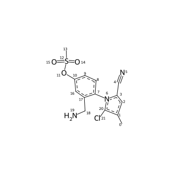 Cc1cc(C#N)n(-c2ccc(OS(C)(=O)=O)cc2CN)c1Cl